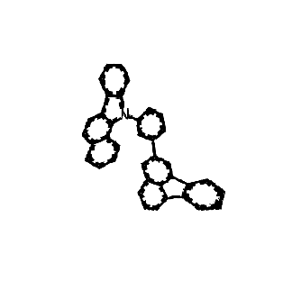 c1cc(-c2cc3c4c(cccc4c2)-c2ccccc2-3)cc(-n2c3ccccc3c3ccc4ccccc4c32)c1